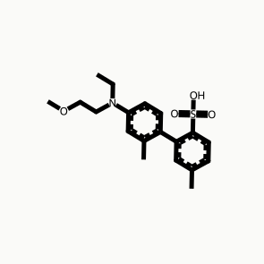 CCN(CCOC)c1ccc(-c2cc(C)ccc2S(=O)(=O)O)c(C)c1